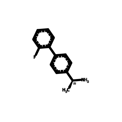 C[C@H](N)c1ccc(-c2ccccc2F)cc1